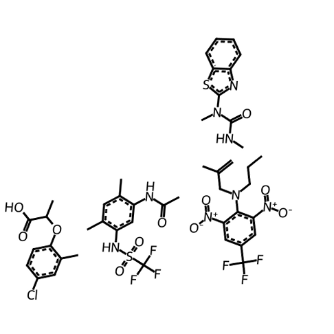 C=C(C)CN(CCC)c1c([N+](=O)[O-])cc(C(F)(F)F)cc1[N+](=O)[O-].CC(=O)Nc1cc(NS(=O)(=O)C(F)(F)F)c(C)cc1C.CNC(=O)N(C)c1nc2ccccc2s1.Cc1cc(Cl)ccc1OC(C)C(=O)O